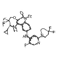 CCn1c(=O)c2c(c3cc(Nc4cc(N5CCC(F)(F)CC5)ncc4F)ccc31)N[C@@H](C1CC1)C(F)(F)CO2